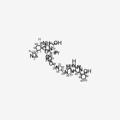 Cc1ncsc1-c1ccc([C@H](C)NC(=O)[C@@H]2C[C@@H](O)CN2C(=O)[C@@H](c2cc(OCCN3CCC(CN4CCN5c6cc(-c7ccccc7O)nnc6NC[C@H]5C4)C3)no2)C(C)C)cc1